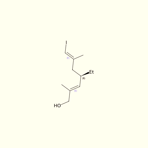 CC[C@@H](/C=C(\C)CO)C/C(C)=C/I